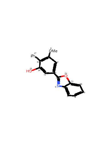 COc1cc(-c2nc3ccccc3o2)cc(O)c1C(C)C